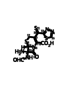 N[C@]1(NC=O)C(=O)N2C(C(=O)O)=C(C(=S)c3nncs3)CS[C@H]21